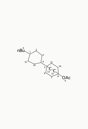 CCCCC1CCC(C23CCC(OC(C)=O)(CC2)CC3)CC1